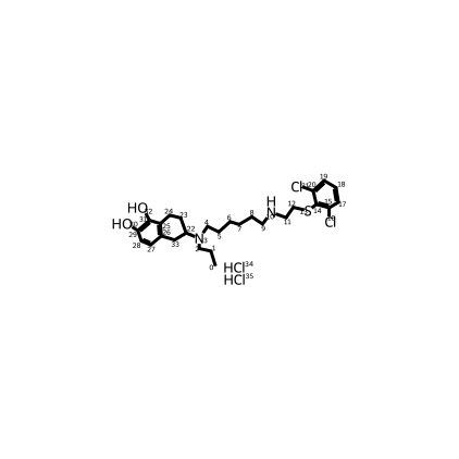 CCCN(CCCCCCNCCSc1c(Cl)cccc1Cl)C1CCc2c(ccc(O)c2O)C1.Cl.Cl